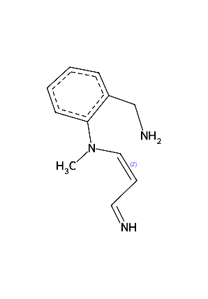 CN(/C=C\C=N)c1ccccc1CN